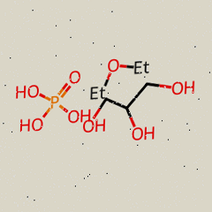 CCOCC.O=P(O)(O)O.OCC(O)CO